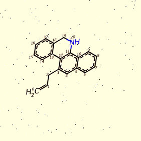 C=CCc1cc2ccccc2c2c1-c1ccccc1CN2